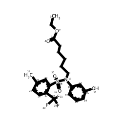 CCOC(=O)CCCCCN(c1cccc(O)c1)S(=O)(=O)c1cc(C)ccc1C(F)(F)F